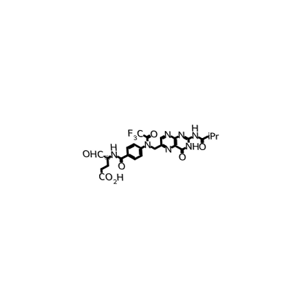 CC(C)C(=O)Nc1nc2ncc(CN(C(=O)C(F)(F)F)c3ccc(C(=O)N[C@H](C=O)CCC(=O)O)cc3)nc2c(=O)[nH]1